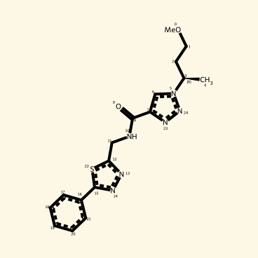 COCC[C@@H](C)n1cc(C(=O)NCc2nnc(-c3ccccc3)s2)nn1